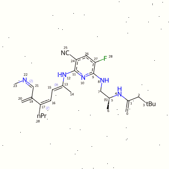 C=C(CC(C)(C)C)N[C@@H](C)CNc1nc(N/C(C)=C/C=C(/CCC)C(=C)/C=N\C)c(C#N)cc1F